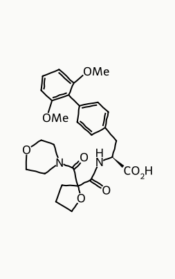 COc1cccc(OC)c1-c1ccc(C[C@H](NC(=O)C2(C(=O)N3CCOCC3)CCCO2)C(=O)O)cc1